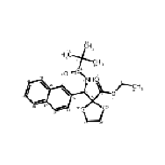 CCOC(=O)C1([C@H](N[S+]([O-])C(C)(C)C)c2ccc3ccccc3c2)SCCS1